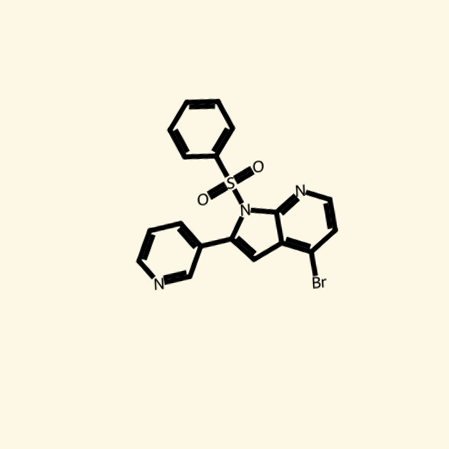 O=S(=O)(c1ccccc1)n1c(-c2cccnc2)cc2c(Br)ccnc21